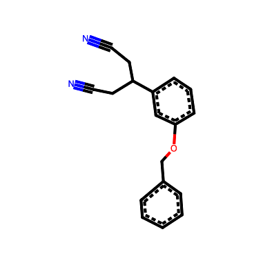 N#CCC(CC#N)c1cccc(OCc2ccccc2)c1